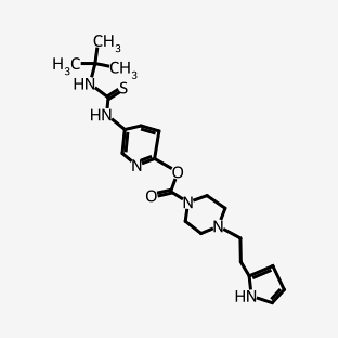 CC(C)(C)NC(=S)Nc1ccc(OC(=O)N2CCN(CCc3ccc[nH]3)CC2)nc1